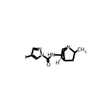 CC1CC2CCN1C[C@@H]2NC(=O)n1cc(I)cn1